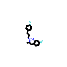 CC(Cc1ccc(F)cc1)NCCCc1ccc(F)cc1